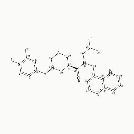 Cc1ccc(CN2CCO[C@@H](C(=O)N(Cc3cccc4cccnc34)CC(C)C)C2)cc1C